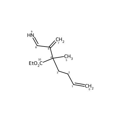 C=CCCC(C)(C(=C)C=N)C(=O)OCC